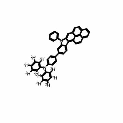 [2H]c1c([2H])c([2H])c(N(c2ccc(-c3ccc4c5c6ccc7cccc8ccc(cc5n(-c5ccccc5)c4c3)c6c87)cc2)c2c([2H])c([2H])c([2H])c([2H])c2[2H])c([2H])c1[2H]